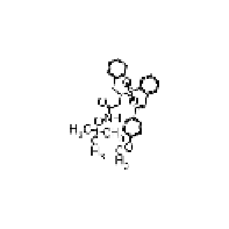 COc1ccc(C=Cc2ccccc2S(=O)(=O)C(CC(=O)NOC(C)(C)C)Cc2ccccc2)cc1